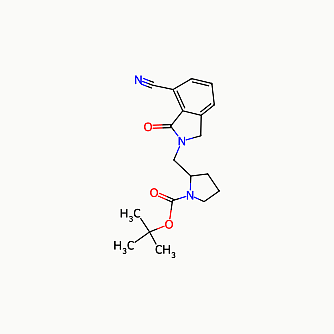 CC(C)(C)OC(=O)N1CCCC1CN1Cc2cccc(C#N)c2C1=O